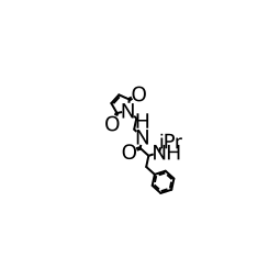 CC(C)NC(Cc1ccccc1)C(=O)NCCN1C(=O)C=CC1=O